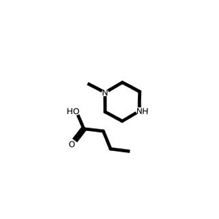 CCCC(=O)O.CN1CCNCC1